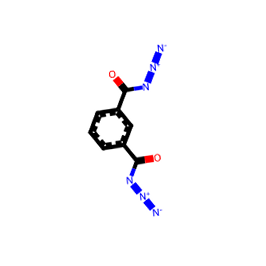 [N-]=[N+]=NC(=O)c1cccc(C(=O)N=[N+]=[N-])c1